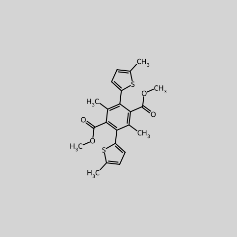 COC(=O)c1c(C)c(-c2ccc(C)s2)c(C(=O)OC)c(C)c1-c1ccc(C)s1